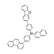 c1ccc2cc(N(c3ccc(-c4ccc5c(c4)oc4ccccc45)cc3)c3ccc(-c4cccc5c4ccc4ccccc45)cc3)ccc2c1